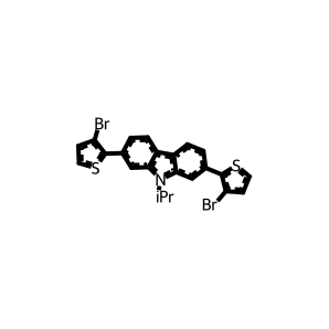 CC(C)n1c2cc(-c3sccc3Br)ccc2c2ccc(-c3sccc3Br)cc21